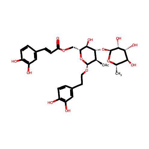 CC(=O)O[C@H]1[C@H](OCCc2ccc(O)c(O)c2)O[C@H](COC(=O)/C=C/c2ccc(O)c(O)c2)[C@@H](O)[C@@H]1O[C@@H]1O[C@@H](C)[C@H](O)[C@@H](O)[C@H]1O